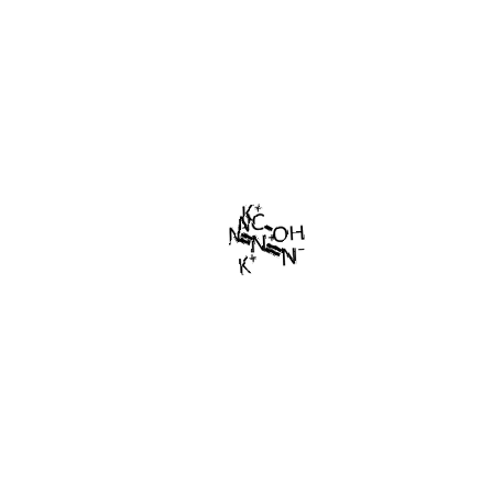 N#CO.[K+].[K+].[N-]=[N+]=[N-]